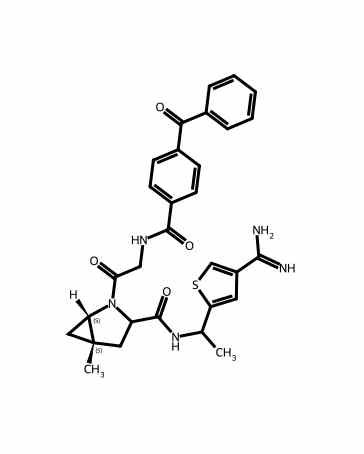 CC(NC(=O)C1C[C@]2(C)C[C@@H]2N1C(=O)CNC(=O)c1ccc(C(=O)c2ccccc2)cc1)c1cc(C(=N)N)cs1